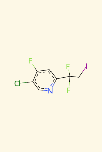 Fc1cc(C(F)(F)CI)ncc1Cl